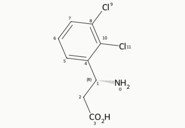 N[C@H](CC(=O)O)c1cccc(Cl)c1Cl